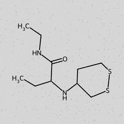 CCNC(=O)C(CC)NC1CCSSC1